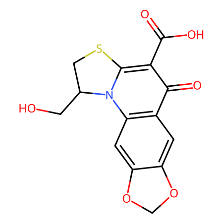 O=C(O)c1c2n(c3cc4c(cc3c1=O)OCO4)C(CO)CS2